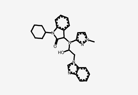 Cn1ccc(N(C(O)Cn2cnc3ccccc32)C2C(=O)N(C3CCCCC3)c3ccccc32)n1